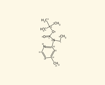 CCN(C(=O)OC(C)(C)C)c1cc(C)ccn1